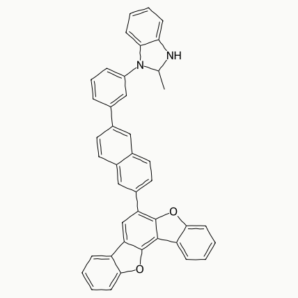 CC1Nc2ccccc2N1c1cccc(-c2ccc3cc(-c4cc5c6ccccc6oc5c5c4oc4ccccc45)ccc3c2)c1